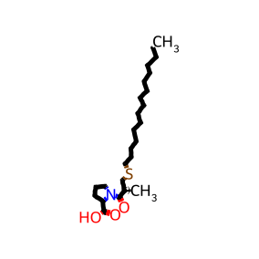 CCCCCCCCCCCCCCCCSC[C@@H](C)C(=O)N1CCCC1C(=O)O